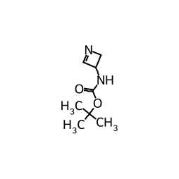 CC(C)(C)OC(=O)NC1C=NC1